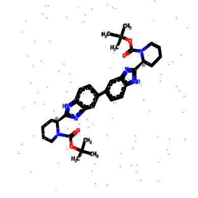 CC(C)(C)OC(=O)N1CCCC[C@H]1c1nc2cc(-c3ccc4[nH]c([C@@H]5CCCCN5C(=O)OC(C)(C)C)nc4c3)ccc2[nH]1